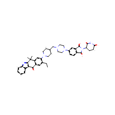 CCc1cc2c(cc1N1CCC(CN3CCN(c4ccc5c(c4)C(=O)N(C4CCC(=O)NC4=O)C5=O)CC3)CC1)C(C)(C)c1[nH]c3ccccc3c1C2=O